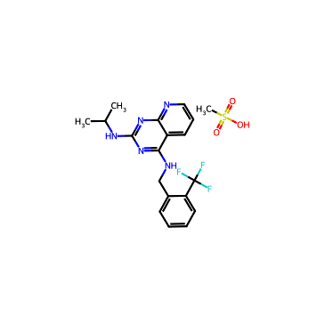 CC(C)Nc1nc(NCc2ccccc2C(F)(F)F)c2cccnc2n1.CS(=O)(=O)O